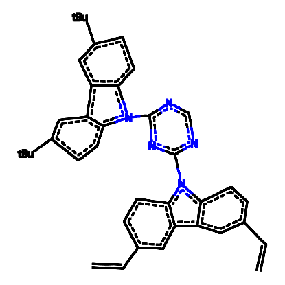 C=Cc1ccc2c(c1)c1cc(C=C)ccc1n2-c1ncnc(-n2c3ccc(C(C)(C)C)cc3c3cc(C(C)(C)C)ccc32)n1